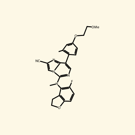 COCCOc1ccc(-c2cnc(N(C)c3c(F)ccc4c3CCO4)n3cc(C#N)nc23)c(C)c1